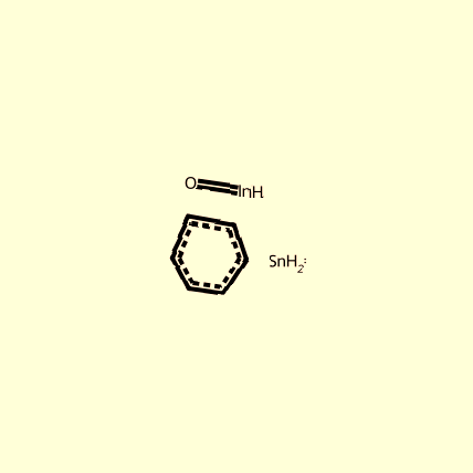 [O]=[InH].[SnH2].c1ccccc1